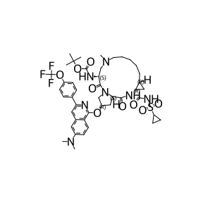 CN1CCCCC[C@@H]2C[C@@]2(C(=O)NS(=O)(=O)C2CC2)NC(=O)[C@@H]2C[C@@H](Oc3nc(-c4ccc(OC(F)(F)F)cc4)cc4cc(N(C)C)ccc34)CN2C(=O)[C@@H](NC(=O)OC(C)(C)C)C1